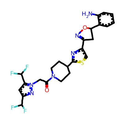 Nc1ccccc1C1CC(c2csc(C3CCN(C(=O)Cn4nc(C(F)F)cc4C(F)F)CC3)n2)=NO1